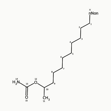 CCCCCCCCCCCCCCCCCCC(C)OC(N)=O